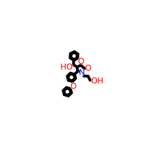 O=C1C2Oc3ccccc3C(O)C2C(c2cccc(Oc3ccccc3)c2)N1CCCO